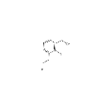 FCCc1cccc(CBr)c1I